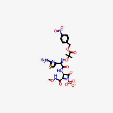 CONC(=O)[C@H]1[C@@H](NC(=O)C(=NOC(C)(C)C(=O)OCc2ccc([N+](=O)[O-])cc2)c2csc(N)n2)C(=O)N1S(=O)(=O)[O-].[Na+]